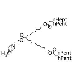 CCCCCCCC(CCCCC)CC(=O)OCCCCCCCCC(CCCCCCCCCCOC(=O)CC(CCCCC)CCCCC)C(=O)OCCCN1CCN(C)CC1